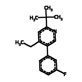 CCc1cc(C(C)(C)C)ncc1-c1cccc(F)c1